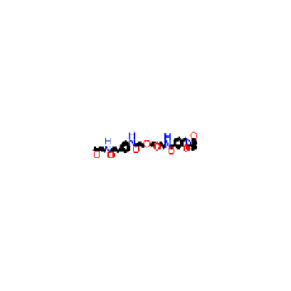 CC(=O)CCNC(=O)CCc1ccc(NC(=O)CCOCCOCCNC(=O)C2CCC(CN3C(=O)CC(C)(C)C3=O)CC2)cc1